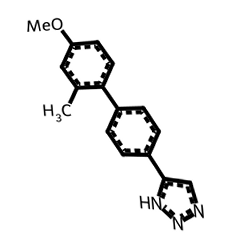 COc1ccc(-c2ccc(-c3cnn[nH]3)cc2)c(C)c1